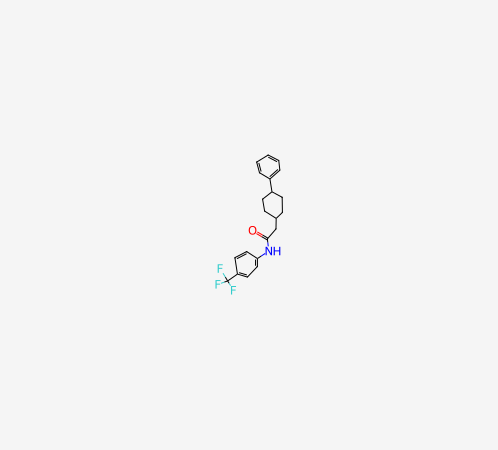 O=C(CC1CCC(c2ccccc2)CC1)Nc1ccc(C(F)(F)F)cc1